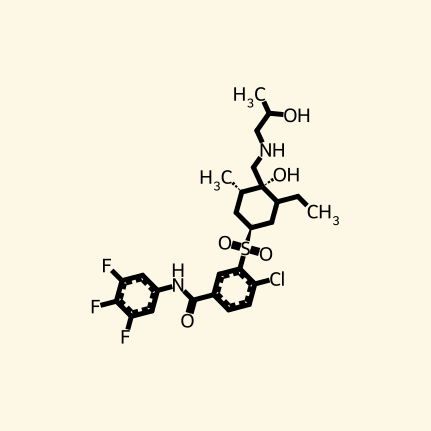 CCC1C[C@@H](S(=O)(=O)c2cc(C(=O)Nc3cc(F)c(F)c(F)c3)ccc2Cl)C[C@H](C)[C@@]1(O)CNCC(C)O